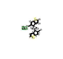 CC1=Cc2sccc2C1[Si](C)(C)C1C(C)=Cc2sccc21.[Cl-].[Cl-].[Zr+2]